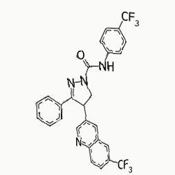 O=C(Nc1ccc(C(F)(F)F)cc1)N1CC(c2cnc3ccc(C(F)(F)F)cc3c2)C(c2ccccc2)=N1